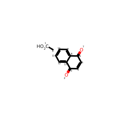 CC(=O)O.O=C1C=CC(=O)c2ccccc21